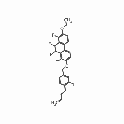 C=CCCc1ccc(COc2ccc3c(c2F)C(F)C(F)c2c-3ccc(OCC)c2F)cc1F